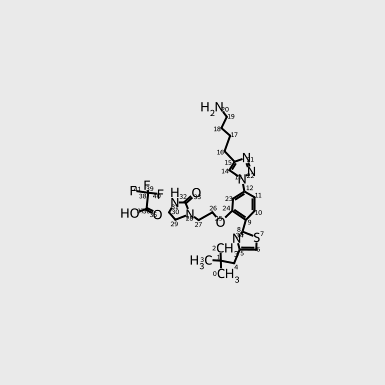 CC(C)(C)Cc1csc(-c2ccc(-n3cc(CCCCN)nn3)cc2OCCN2CCNC2=O)n1.O=C(O)C(F)(F)F